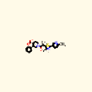 Cc1ccc(-c2nc(C)c(C(C)C(=O)N3CC[C@@H](C(=O)O)[C@H](c4ccccc4)C3)s2)cn1